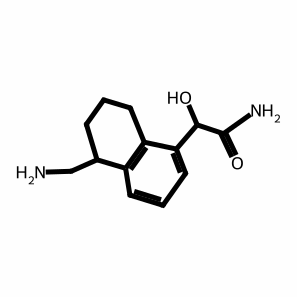 NCC1CCCc2c1cccc2C(O)C(N)=O